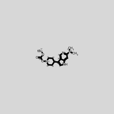 CN(C)c1cc2[nH]cc(C3CCN(OC(=O)OC(C)(C)C)CC3)c2cn1